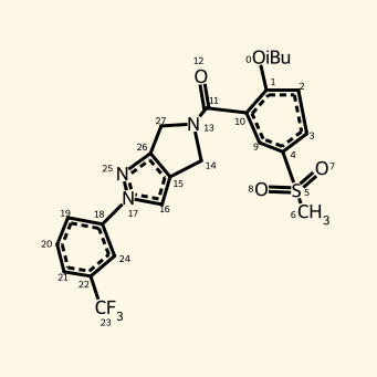 CC(C)COc1ccc(S(C)(=O)=O)cc1C(=O)N1Cc2cn(-c3cccc(C(F)(F)F)c3)nc2C1